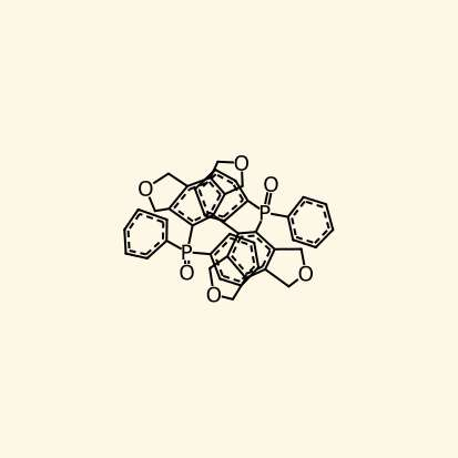 O=P(c1ccccc1)(c1ccccc1)c1c2c(c3c(c1-c1c4c(c5c(c1P(=O)(c1ccccc1)c1ccccc1)COC5)COC4)COC3)COC2